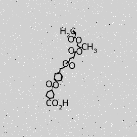 C=CC(=O)OCC(C)OC(=O)CCC(=O)OCCc1ccc(OC(=O)[C@H]2CC[C@H](C(=O)O)CC2)cc1